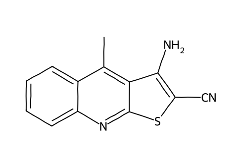 Cc1c2ccccc2nc2sc(C#N)c(N)c12